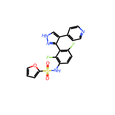 O=S(=O)(Nc1ccc(F)c(-c2n[nH]cc2-c2ccncc2)c1F)c1ccco1